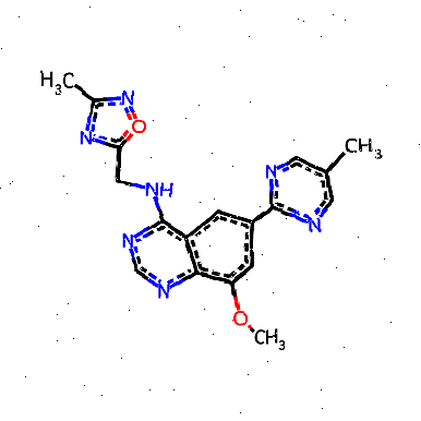 COc1cc(-c2ncc(C)cn2)cc2c(NCc3nc(C)no3)ncnc12